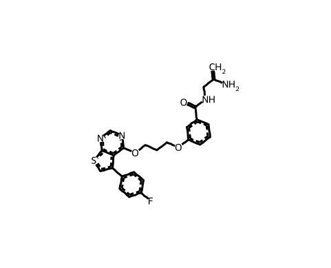 C=C(N)CNC(=O)c1cccc(OCCCOc2ncnc3scc(-c4ccc(F)cc4)c23)c1